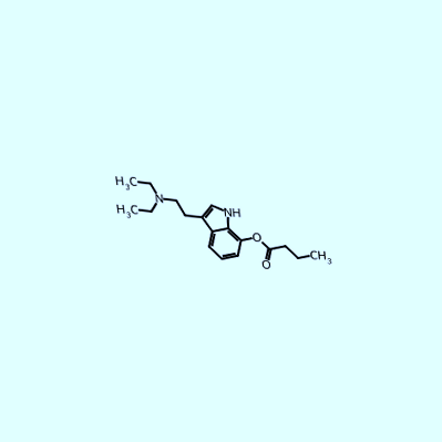 CCCC(=O)Oc1cccc2c(CCN(CC)CC)c[nH]c12